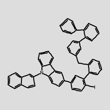 Ic1ccc(-c2ccc3c(c2)c2ccccc2n3-c2ccc3ccccc3c2)cc1-c1ccccc1Cc1cccc(-c2ccccc2-c2ccccc2)c1